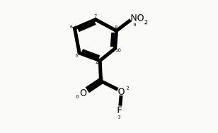 O=C(OF)c1cccc([N+](=O)[O-])c1